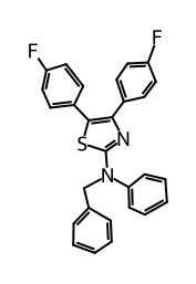 Fc1ccc(-c2nc(N(Cc3ccccc3)c3ccccc3)sc2-c2ccc(F)cc2)cc1